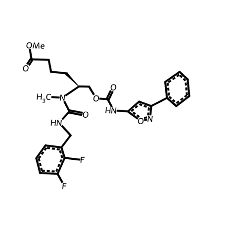 COC(=O)CCC[C@@H](COC(=O)Nc1cc(-c2ccccc2)no1)N(C)C(=O)NCc1cccc(F)c1F